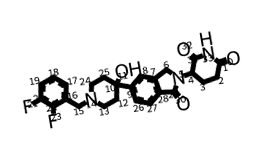 O=C1CCC(N2Cc3cc(C4(O)CCN(Cc5cccc(F)c5F)CC4)ccc3C2=O)C(=O)N1